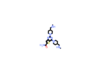 CNCC1CCN(c2nc(N3CCC(CNC)CC3)c3sc(C(N)=O)cc3n2)CC1